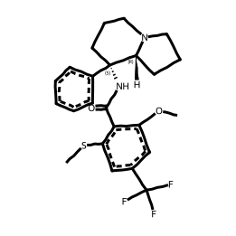 COc1cc(C(F)(F)F)cc(SC)c1C(=O)N[C@]1(c2ccccc2)CCCN2CCC[C@@H]21